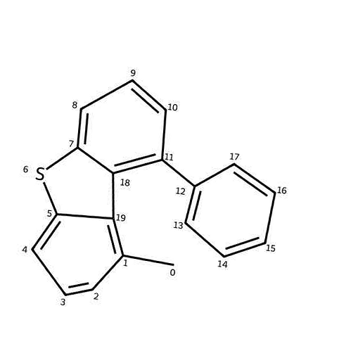 Cc1cccc2sc3cccc(-c4ccccc4)c3c12